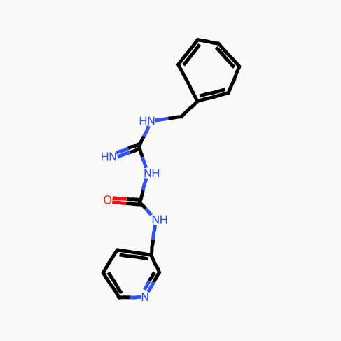 N=C(NCc1ccccc1)NC(=O)Nc1cccnc1